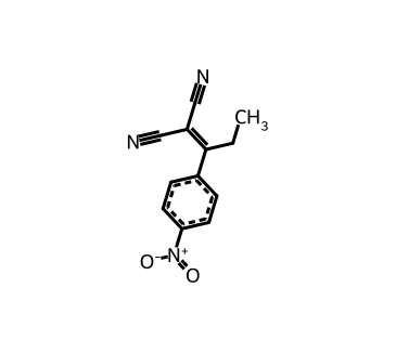 CCC(=C(C#N)C#N)c1ccc([N+](=O)[O-])cc1